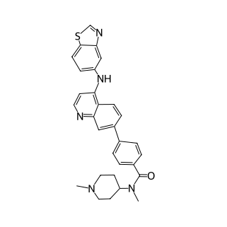 CN1CCC(N(C)C(=O)c2ccc(-c3ccc4c(Nc5ccc6scnc6c5)ccnc4c3)cc2)CC1